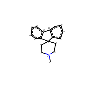 CN1CCC2(CC1)c1ccccc1-c1ccccc12